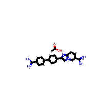 CC(=O)O.N=C(N)c1ccc(-c2ccc(-c3cn4cc(C(=N)N)ccc4n3)cc2)cc1